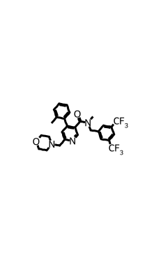 Cc1ccccc1-c1cc(CN2CCOCC2)ncc1C(=O)N(C)Cc1cc(C(F)(F)F)cc(C(F)(F)F)c1